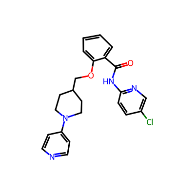 O=C(Nc1ccc(Cl)cn1)c1ccccc1OCC1CCN(c2ccncc2)CC1